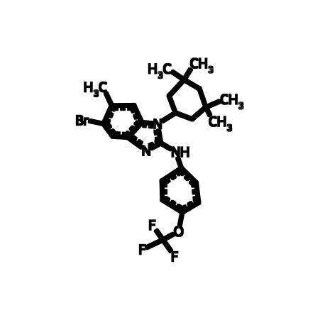 Cc1cc2c(cc1Br)nc(Nc1ccc(OC(F)(F)F)cc1)n2C1CC(C)(C)CC(C)(C)C1